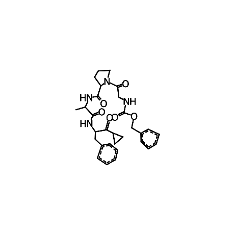 CC(NC(=O)C1CCCN1C(=O)CNC(=O)OCc1ccccc1)C(=O)NC(Cc1ccccc1)C(=O)C1CC1